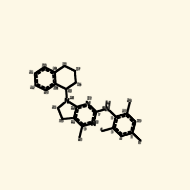 Cc1cc(C)c(Nc2nc(C)c3c(n2)N(C2CCCc4ccccc42)CC3)c(C)c1